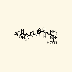 Cn1cc(Nc2nc(C(N)CCNC(=O)OC(C)(C)C)cn2C)cc1C(=O)NCCC(N)c1cn(C)c(C(=O)O)n1